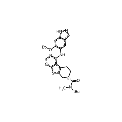 CCOc1cc2[nH]ncc2cc1Nc1ncnc2sc3c(c12)CC[C@H](C(=O)N(C)C(C)(C)C)C3